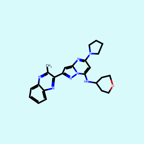 Cc1nc2ccccc2nc1-c1cc2nc(N3CCCC3)cc(NC3CCOCC3)n2n1